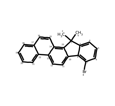 CC1(C)c2cccc(Br)c2-c2ccc3c(ccc4ccccc43)c21